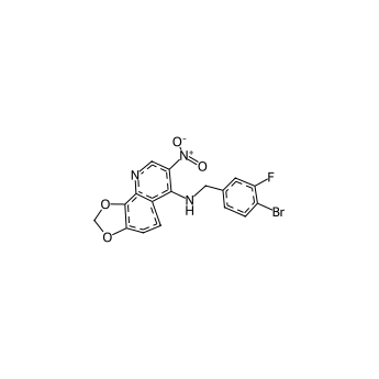 O=[N+]([O-])c1cnc2c3c(ccc2c1NCc1ccc(Br)c(F)c1)OCO3